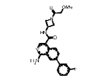 COCC(=O)N1CC(NC(=O)c2cnc(N)c3cc(-c4cccc(F)c4)ccc23)C1